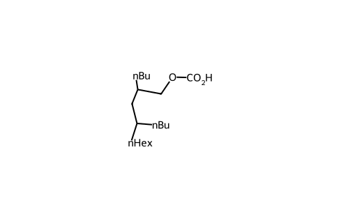 CCCCCCC(CCCC)CC(CCCC)COC(=O)O